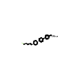 COCc1ccc(-c2ccc([C@H]3CC[C@H](C=CCCCF)CC3)cc2)cc1